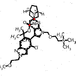 COCCn1cc2c(Cl)c(-c3cn(COCCS(C)(C)C)c4nc(N5[C@@H]6CC[C@H]5C[C@@H](NC(=O)OC(C)(C)C)C6)cnc34)ccc2n1